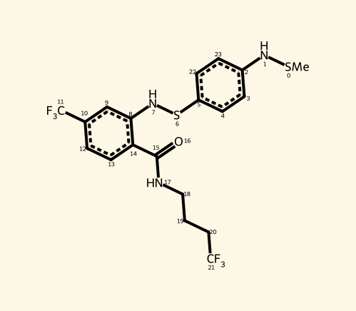 CSNc1ccc(SNc2cc(C(F)(F)F)ccc2C(=O)NCCCC(F)(F)F)cc1